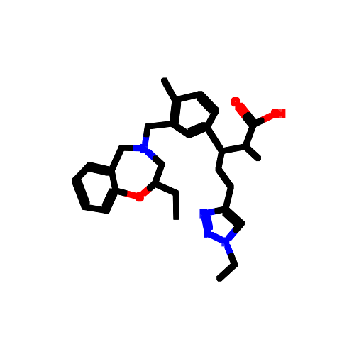 CCC1CN(Cc2cc(C(CCc3cn(CC)nn3)C(C)C(=O)O)ccc2C)Cc2ccccc2O1